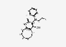 CCCC(c1ccccc1)c1c(O)c2c(oc1=O)CCCCCC2